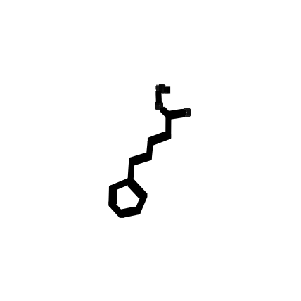 CC(C)(C)OC(=O)C=CC=Cc1ccccc1